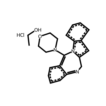 CCO.Cl.c1ccc2c(c1)=NCc1cc3ccccc3n1C=2N1CCOCC1